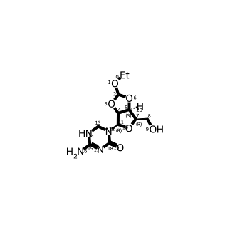 CCOC1OC2[C@@H](O1)[C@@H](CO)O[C@H]2N1CNC(N)=NC1=O